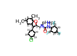 CCCCCCCN(Cc1oc2c(C)cc(C)cc2c1-c1ccc(Cl)cc1)C(=O)Nc1c(F)cc(F)cc1F